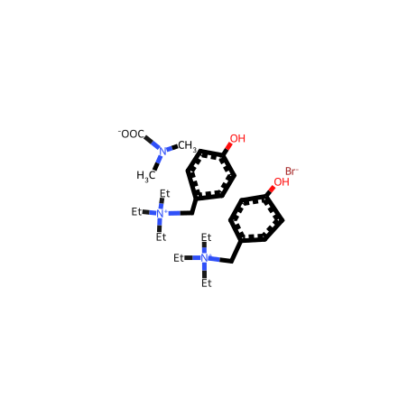 CC[N+](CC)(CC)Cc1ccc(O)cc1.CC[N+](CC)(CC)Cc1ccc(O)cc1.CN(C)C(=O)[O-].[Br-]